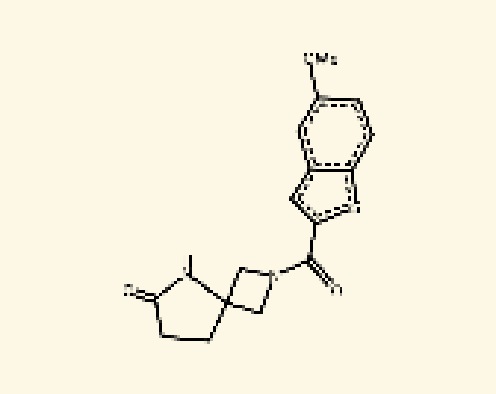 COc1ccc2sc(C(=O)N3CC4(CCC(=O)N4)C3)cc2c1